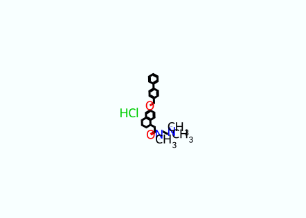 CN(C)CCN(C)C(=O)CC1CCCc2cc(OCc3ccc(-c4ccccc4)cc3)ccc21.Cl